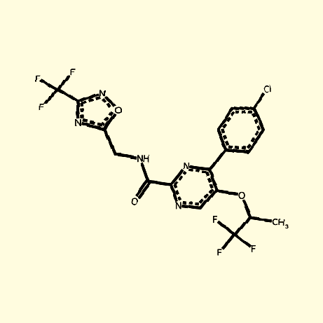 CC(Oc1cnc(C(=O)NCc2nc(C(F)(F)F)no2)nc1-c1ccc(Cl)cc1)C(F)(F)F